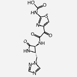 O=C(O)Nc1nc(C(=O)C(=O)N[C@@H]2C(=O)N[C@H]2Cn2cncn2)cs1